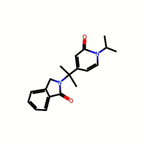 CC(C)n1ccc(C(C)(C)N2Cc3ccccc3C2=O)cc1=O